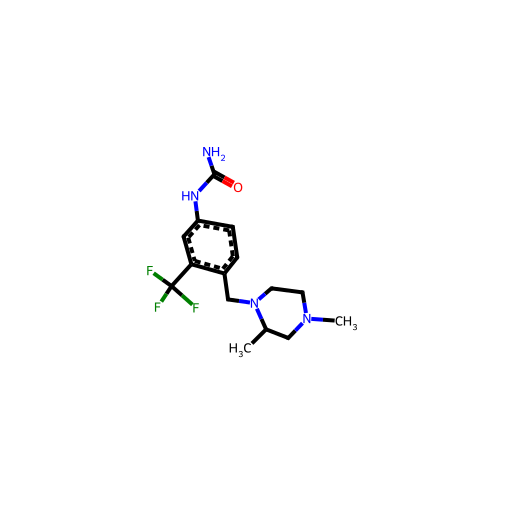 CC1CN(C)CCN1Cc1ccc(NC(N)=O)cc1C(F)(F)F